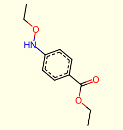 CCONc1ccc(C(=O)OCC)cc1